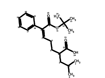 CC(C)CC(CC/C=C(\C(=O)OC(C)(C)C)c1ccccc1)C(=O)O